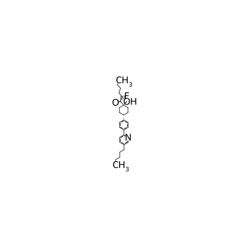 CCCCCc1ccc(-c2ccc([C@H]3CC[C@@](O)(C(=O)[C@@H](F)CCCC)CC3)cc2)nc1